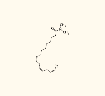 CC/C=C\C/C=C\C/C=C\CCCCCCCC(=O)N(C)C